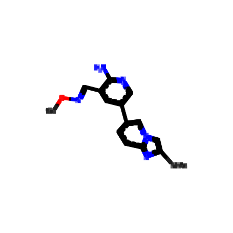 CC(=O)Nc1cn2cc(-c3cnc(N)c(C=NOC(C)(C)C)c3)ccc2n1